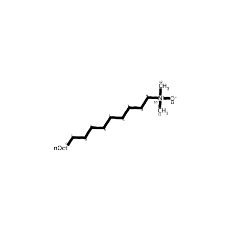 CCCCCCCCCCCCCCCCC[N+](C)(C)[O-]